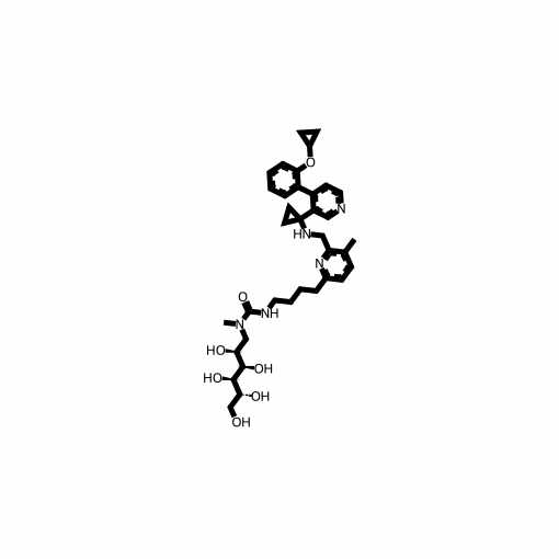 Cc1ccc(CCCCNC(=O)N(C)C[C@H](O)[C@@H](O)[C@H](O)[C@H](O)CO)nc1CNC1(c2cnccc2-c2ccccc2OC2CC2)CC1